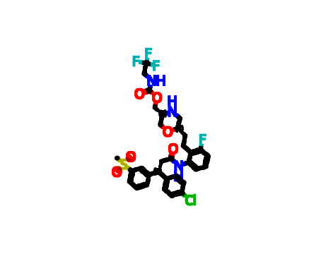 CS(=O)(=O)c1cccc([C@@H](CC(=O)Nc2cccc(F)c2CC[C@@H]2CN[C@H](COC(=O)NCC(F)(F)F)CO2)c2ccc(Cl)cc2)c1